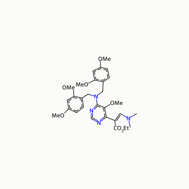 CCOC(=O)/C(=C\N(C)C)c1ncnc(N(Cc2ccc(OC)cc2OC)Cc2ccc(OC)cc2OC)c1OC